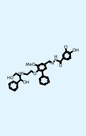 COc1cc(/C=N/NC(=O)c2ccc(O)c(Cl)c2)cc(-c2ccccc2)c1OCCNC(CO)C(O)c1ccccc1